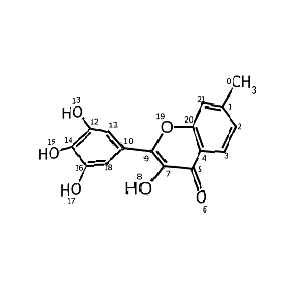 Cc1ccc2c(=O)c(O)c(-c3cc(O)c(O)c(O)c3)oc2c1